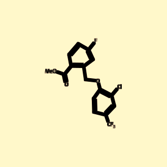 COC(=O)c1ccc(F)cc1COc1ccc(C(F)(F)F)cc1Cl